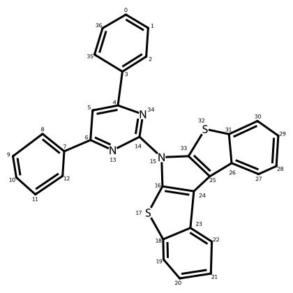 c1ccc(-c2cc(-c3ccccc3)nc(-n3c4sc5ccccc5c4c4c5ccccc5sc43)n2)cc1